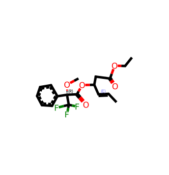 C/C=C/C(CC(=O)OCC)OC(=O)[C@](OC)(c1ccccc1)C(F)(F)F